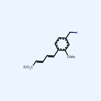 CCOC(=O)/C=C/C=C/c1ccc(CI)cc1OC